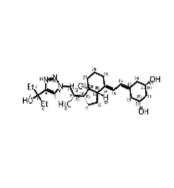 CCC(O)(CC)c1cn(C[C@@H](C)[C@H]2CC[C@H]3C(=CC=C4C[C@@H](O)C[C@H](O)C4)CCC[C@]23C)nn1